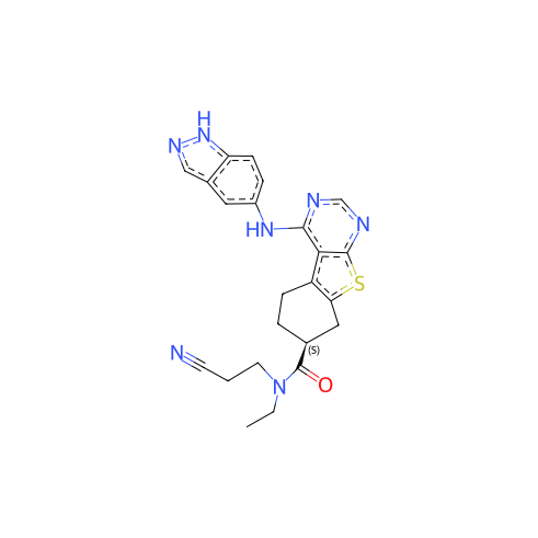 CCN(CCC#N)C(=O)[C@H]1CCc2c(sc3ncnc(Nc4ccc5[nH]ncc5c4)c23)C1